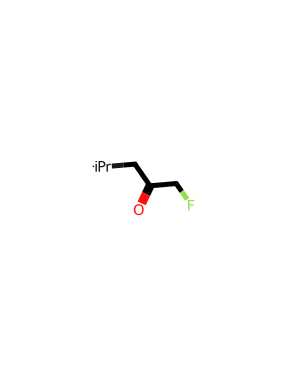 C[C](C)CC(=O)CF